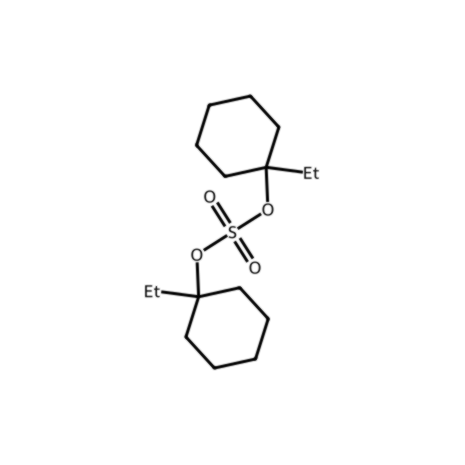 CCC1(OS(=O)(=O)OC2(CC)CCCCC2)CCCCC1